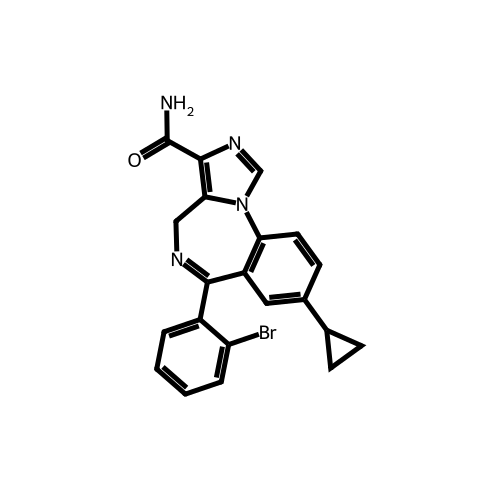 NC(=O)c1ncn2c1CN=C(c1ccccc1Br)c1cc(C3CC3)ccc1-2